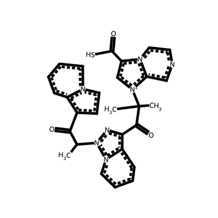 CC(C(=O)c1ccn2ccccc12)[n+]1nc(C(=O)C(C)(C)[n+]2cc(C(=O)S)n3ccncc32)c2ccccn21